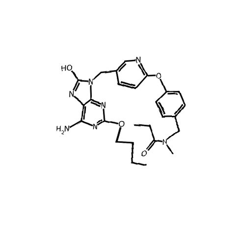 CCCCOc1nc(N)c2nc(O)n(Cc3ccc(Oc4ccc(CN(C)C(=O)CC)cc4)nc3)c2n1